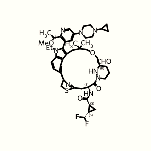 CCn1c(-c2cc(N3CCN(C4CC4)CC3)cnc2[C@H](C)OC)c2c3cc(ccc31)C1CSC(=N1)C[C@H](NC(=O)[C@H]1C[C@@H]1C(F)F)C(=O)N1CCC[C@](C=O)(COCC(C)(C)C2)N1